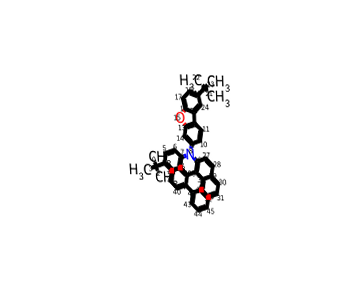 CC(C)(C)c1ccc(N(c2ccc3c(c2)oc2ccc(C(C)(C)C)cc23)c2ccc3ccccc3c2-c2ccccc2-c2ccccc2)cc1